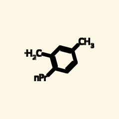 [CH2]c1cc(C)ccc1CCC